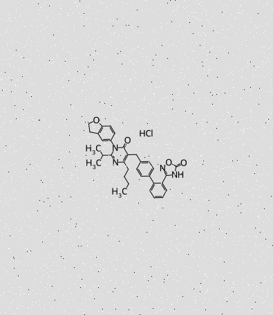 CCCCc1nc(C(C)C)n(-c2ccc3c(c2)CCO3)c(=O)c1Cc1ccc(-c2ccccc2-c2noc(=O)[nH]2)cc1.Cl